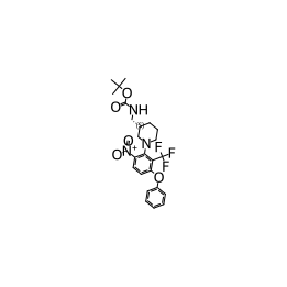 CC(C)(C)OC(=O)NC[C@@H]1CCCN(c2c([N+](=O)[O-])ccc(Oc3ccccc3)c2C(F)(F)F)C1